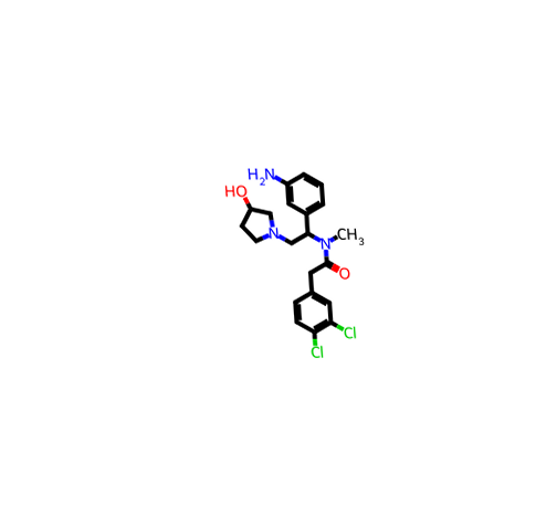 CN(C(=O)Cc1ccc(Cl)c(Cl)c1)C(CN1CCC(O)C1)c1cccc(N)c1